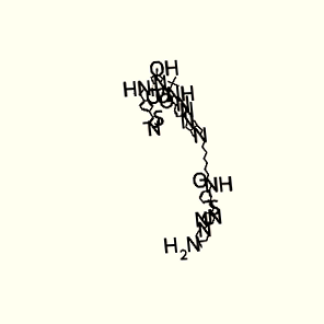 Cc1ncsc1-c1ccc([C@H](C)NC(=O)[C@@H]2C[C@@H](O)CN2C(=O)[C@@H](NC(=O)c2ccc(N3CC4CN(CCCCCCCC(=O)Nc5cccc(Sc6cnc(N7CCC(C)(N)CC7)cn6)c5)CC4C3)nn2)C(C)(C)C)cc1